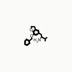 CC(C)[C@@H](N)Cc1cc2c(c(OCc3ccccc3)c1)OCC2